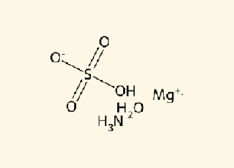 N.O.O=S(=O)([O-])O.[Mg+]